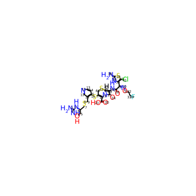 N=C(N)NC(CO)CSCc1cnccc1SC1=C(C(=O)O)N2C(=O)[C@@H](NC(=O)/C(=N\OCCF)c3nc(N)sc3Cl)[C@@H]2SC1